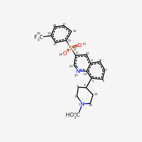 O=C(O)N1CCC(c2cccc3cc(S(=O)(=O)c4cccc(C(F)(F)F)c4)cnc23)CC1